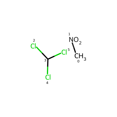 C[N+](=O)[O-].ClC(Cl)Cl